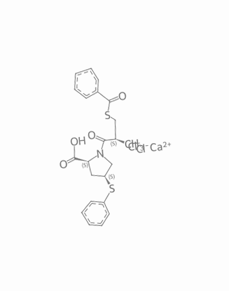 C[C@H](CSC(=O)c1ccccc1)C(=O)N1C[C@@H](Sc2ccccc2)C[C@H]1C(=O)O.[Ca+2].[Cl-].[Cl-]